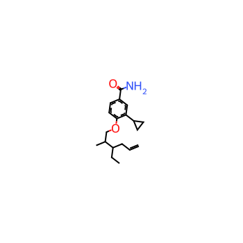 C=CCC(CC)C(C)COc1ccc(C(N)=O)cc1C1CC1